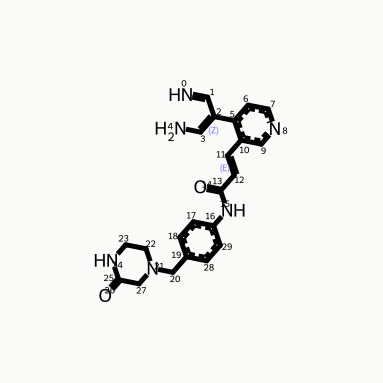 N=C/C(=C\N)c1ccncc1/C=C/C(=O)Nc1ccc(CN2CCNC(=O)C2)cc1